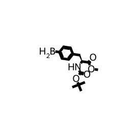 Bc1ccc(C[C@H](NC(=O)OC(C)(C)C)C(=O)OC)cc1